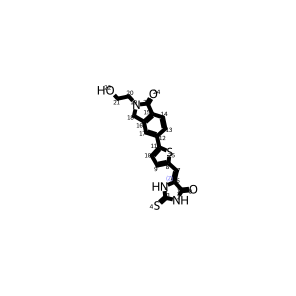 O=C1NC(=S)N/C1=C\c1ccc(-c2ccc3c(c2)CN(CCO)C3=O)s1